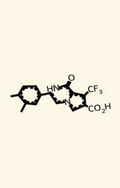 Cc1ccc(-c2cn3cc(C(=O)O)c(C(F)(F)F)c3c(=O)[nH]2)cc1C